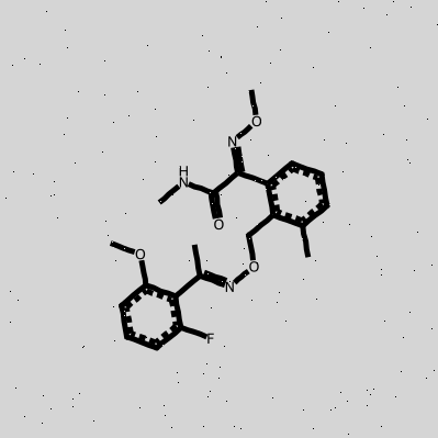 CNC(=O)/C(=N/OC)c1cccc(C)c1CO/N=C(\C)c1c(F)cccc1OC